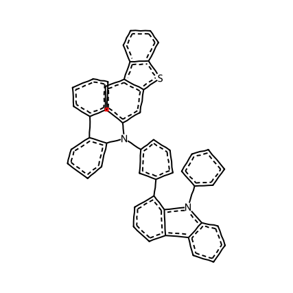 c1ccc(-c2ccccc2N(c2cccc(-c3cccc4c5ccccc5n(-c5ccccc5)c34)c2)c2ccc3c(c2)sc2ccccc23)cc1